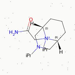 CC(C)N1C[C@H]2CCC[C@@H](C1)[N+]2(CC(N)=O)C(C)C